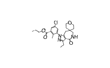 CCCOC(=O)c1cc(Cl)cc(-n2nc(CC)c3c2CC2(CCOCC2)CNC3=O)c1C